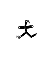 CC(CF)S(C)(=O)=O